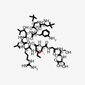 CC[C@H](C)[C@H](NC(=O)[C@@H](CCCNC(=N)N)NC(=O)[C@H](CC(C)C)NC(=O)[C@@H](NC(=O)[C@H](Cc1cccc(N)c1)NC(=O)[C@H](CC(C)(C)C)NC(=O)[C@H](N)CC(C)(C)C)C(O)C(C)C)C(=O)N[C@H](C(=O)NCC(=O)N[C@@H](CO)C(=O)N[C@@H](CO)C(=O)O)[C@H](C)O